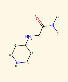 CN(C)C(=O)CNC1CC[N]CC1